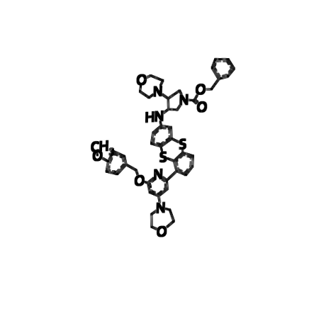 COc1ccc(COc2cc(N3CCOCC3)cc(-c3cccc4c3Sc3ccc(NC5CN(C(=O)OCc6ccccc6)CC5N5CCOCC5)cc3S4)n2)cc1